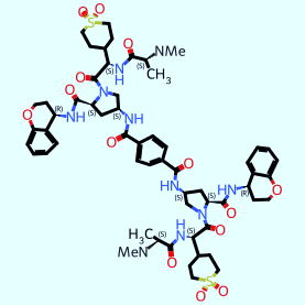 CN[C@@H](C)C(=O)N[C@H](C(=O)N1C[C@@H](NC(=O)c2ccc(C(=O)N[C@H]3C[C@@H](C(=O)N[C@@H]4CCOc5ccccc54)N(C(=O)[C@@H](NC(=O)[C@H](C)NC)C4CCS(=O)(=O)CC4)C3)cc2)C[C@H]1C(=O)N[C@@H]1CCOc2ccccc21)C1CCS(=O)(=O)CC1